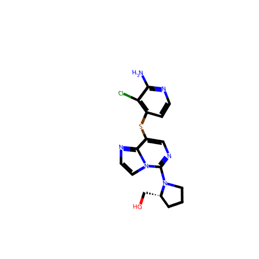 Nc1nccc(Sc2cnc(N3CCC[C@@H]3CO)n3ccnc23)c1Cl